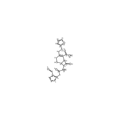 O=Cc1cccn1CC(=O)NC1C(=O)N2C(C(=O)O)=C(CSc3nnco3)CSC12